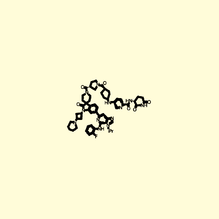 CC(C)n1cnc2cc(-c3ccc4c(c3)N(C3CC(N5CCCCC5)C3)C(=O)C43CCN(C(=O)[C@@H]4CCN(C(=O)C5CCC(Nc6ccc(C(=O)N[C@@H]7CCC(=O)NC7=O)nc6)CC5)C4)CC3)nc(Nc3ccccc3F)c21